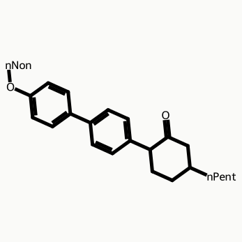 CCCCCCCCCOc1ccc(-c2ccc(C3CCC(CCCCC)CC3=O)cc2)cc1